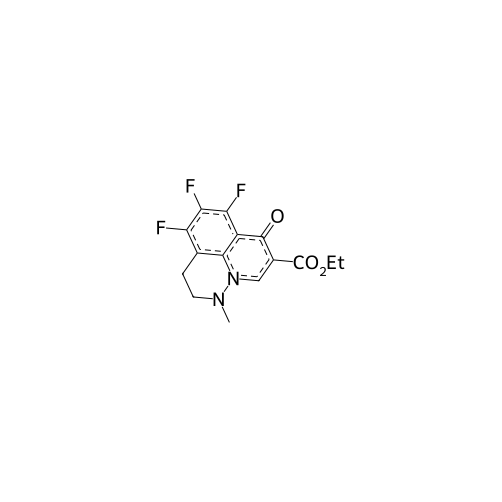 CCOC(=O)c1cn2c3c(c(F)c(F)c(F)c3c1=O)CCN2C